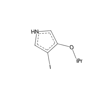 CC(C)Oc1c[nH]cc1I